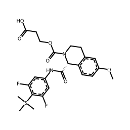 COc1ccc2c(c1)CCN(C(=O)OCCC(=O)O)[C@H]2C(=O)Nc1cc(F)c(S(C)(C)C)c(F)c1